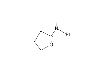 CCN(C)[C]1CCCO1